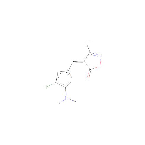 CN(C)c1sc(/C=C2\C(=O)ON=C2C(F)(F)F)cc1Cl